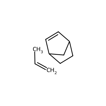 C1=CC2CCC1C2.C=CC